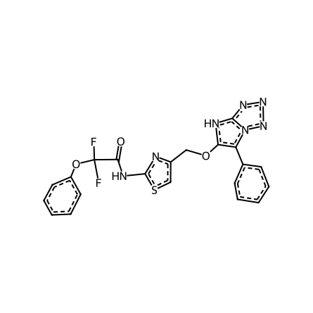 O=C(Nc1nc(COc2[nH]c3nnnn3c2-c2ccccc2)cs1)C(F)(F)Oc1ccccc1